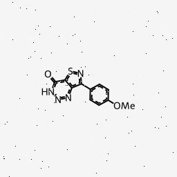 COc1ccc(-c2nsc3c(=O)[nH]nnc23)cc1